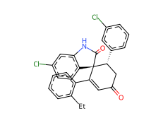 CCc1ccccc1C1=CC(=O)C[C@@H](c2cccc(Cl)c2)[C@@]12C(=O)Nc1cc(Cl)ccc12